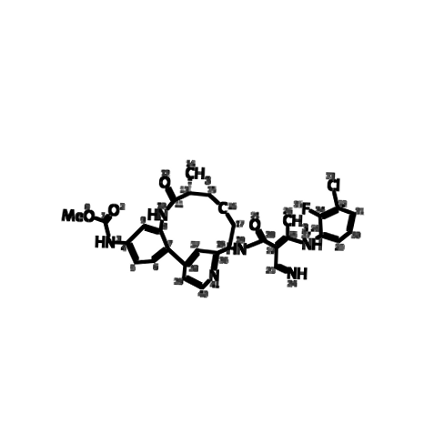 COC(=O)Nc1ccc2c(c1)NC(=O)[C@H](C)CCC[C@H](NC(=O)/C(C=N)=C(\C)Nc1cccc(Cl)c1F)c1cc-2ccn1